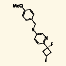 COc1ccc(CSc2ccc([C@]3(F)C[C@H](C)C3)nc2)cc1